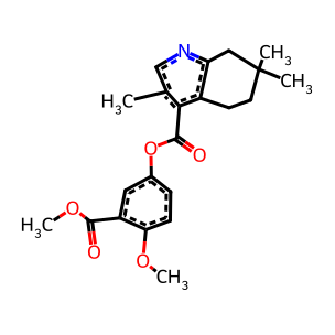 COC(=O)c1cc(OC(=O)c2c(C)cnc3c2CCC(C)(C)C3)ccc1OC